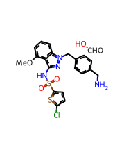 COc1cccc2c1c(NS(=O)(=O)c1ccc(Cl)s1)nn2Cc1ccc(CN)cc1.O=CO